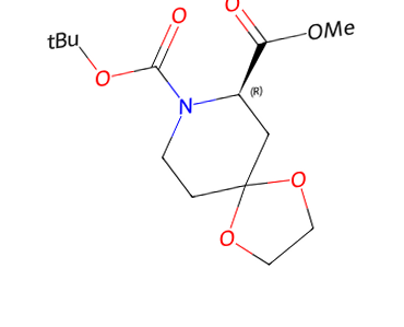 COC(=O)[C@H]1CC2(CCN1C(=O)OC(C)(C)C)OCCO2